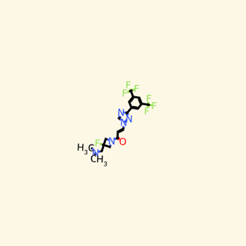 CN(C)CC1(F)CN(C(=O)C=Cn2cnc(-c3cc(C(F)(F)F)cc(C(F)(F)F)c3)n2)C1